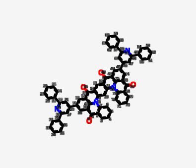 O=c1c2ccccc2n2c3cc4c(cc3c(=O)c3cc(-c5cc(-c6ccccc6)nc(-c6ccccc6)c5)cc1c32)c(=O)c1cc(-c2cc(-c3ccccc3)nc(-c3ccccc3)c2)cc2c(=O)c3ccccc3n4c21